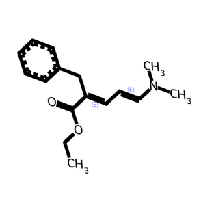 CCOC(=O)/C(=C/C=C/N(C)C)Cc1ccccc1